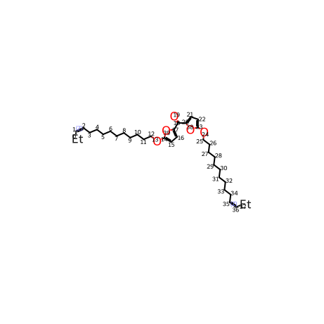 CC/C=C\CCCCCCCCCCOc1ccc(C(=O)c2ccc(OCCCCCCCCCC/C=C\CC)o2)o1